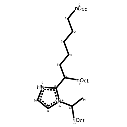 CCCCCCCCCCCCCCCC(CCCCCCCC)c1[nH]cc[n+]1C(C)CCCCCCCC